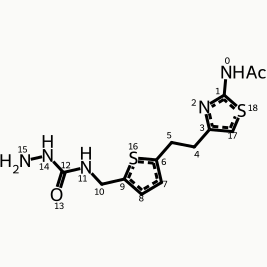 CC(=O)Nc1nc(CCc2ccc(CNC(=O)NN)s2)cs1